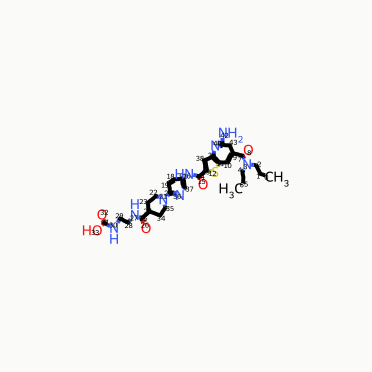 CCCN(CCC)C(=O)C1=Cc2sc(C(=O)Nc3ccc(N4CCC(C(=O)NCCNC(=O)O)CC4)nc3)cc2N=C(N)C1